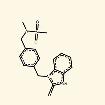 CN(Cc1ccc(Cn2c(=O)[nH]c3ccccc32)cc1)S(C)(=O)=O